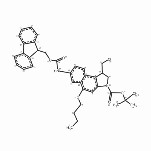 CCCCOc1cc2c(c3ccc(NC(=O)OCC4c5ccccc5-c5ccccc54)cc13)C(CCl)CN2C(=O)OC(C)(C)C